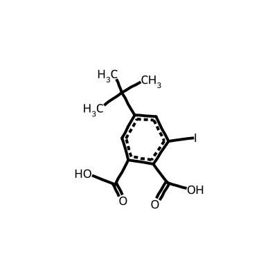 CC(C)(C)c1cc(I)c(C(=O)O)c(C(=O)O)c1